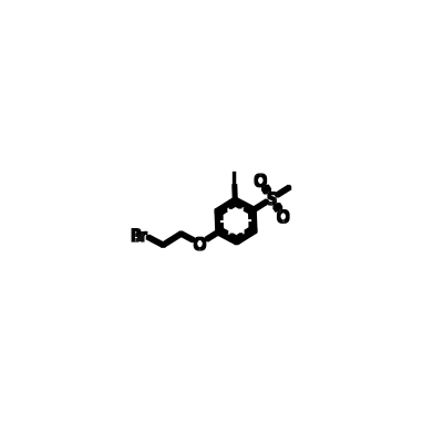 CS(=O)(=O)c1ccc(OCCBr)cc1I